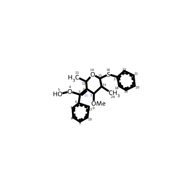 COC1/C(=C(/OO)c2ccccc2)C(C)OC(Sc2ccccc2)C1C